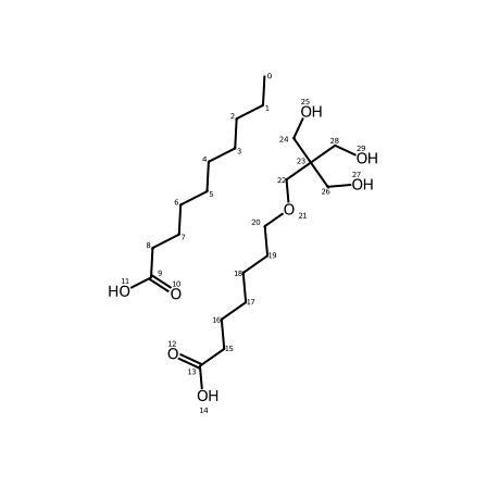 CCCCCCCCCC(=O)O.O=C(O)CCCCCCOCC(CO)(CO)CO